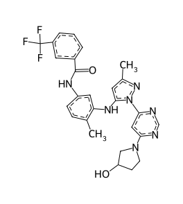 Cc1cc(Nc2cc(NC(=O)c3cccc(C(F)(F)F)c3)ccc2C)n(-c2cc(N3CCC(O)C3)ncn2)n1